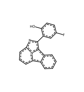 Oc1ccc(F)cc1-c1nc2cccc3c4ccccc4c1n23